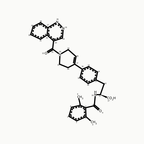 Cc1cccc(C)c1C(=O)N[C@@H](Cc1ccc(C2=CCN(C(=O)c3cnnc4ccccc34)CC2)cc1)C(=O)O